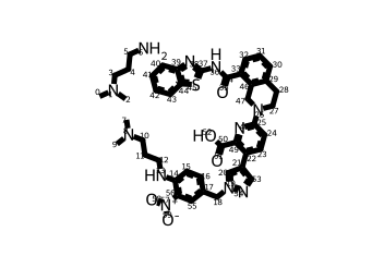 CN(C)CCCN.CN(C)CCCNc1ccc(Cn2cc(-c3ccc(N4CCc5cccc(C(=O)Nc6nc7ccccc7s6)c5C4)nc3C(=O)O)cn2)cc1[N+](=O)[O-]